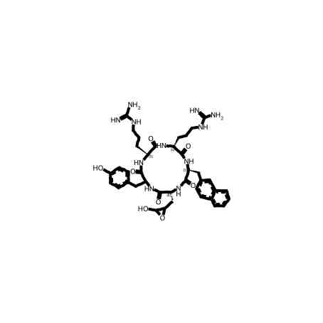 N=C(N)NCCC[C@@H]1NC(=O)C(Cc2ccc(O)cc2)NC(=O)[C@@H](CC2OC2O)NC(=O)[C@H](Cc2ccc3ccccc3c2)NC(=O)[C@H](CCCNC(=N)N)NC1=O